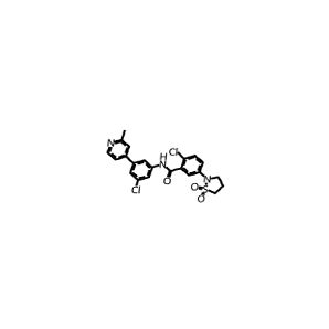 Cc1cc(-c2cc(Cl)cc(NC(=O)c3cc(N4CCCS4(=O)=O)ccc3Cl)c2)ccn1